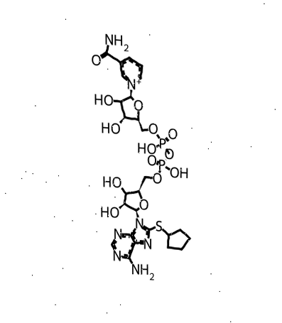 NC(=O)c1ccc[n+]([C@H]2O[C@@H](COP(=O)(O)OP(=O)(O)OC[C@H]3O[C@@H](n4c(SC5CCCC5)nc5c(N)ncnc54)[C@@H](O)C3O)[C@@H](O)C2O)c1